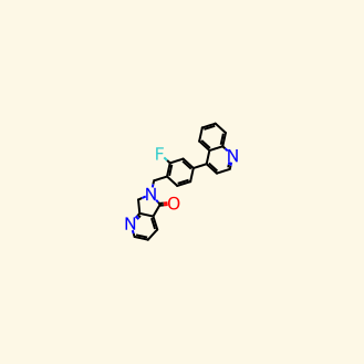 O=C1c2cccnc2CN1Cc1ccc(-c2ccnc3ccccc23)cc1F